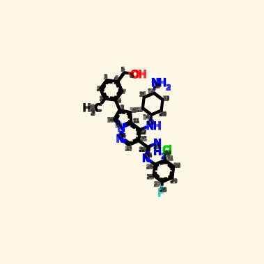 Cc1ccc(CO)cc1-c1cc2c(N[C@H]3CC[C@H](N)CC3)c(/C(N)=N/c3cc(F)ccc3Cl)cnn2c1